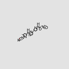 Cc1cc(Nc2nccc(-c3ccc(NC(=O)CN4CCOCC4)nc3)n2)cnc1N1CC2CC1CN2C